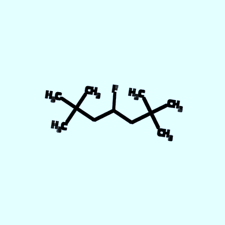 CC(C)(C)CC(F)CC(C)(C)C